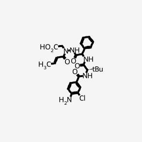 C/C=C/C(=O)N(CC(=O)O)NC(=O)C(NC(=O)[C@@H](NC(=O)c1ccc(N)c(Cl)c1)C(C)(C)C)c1ccccc1